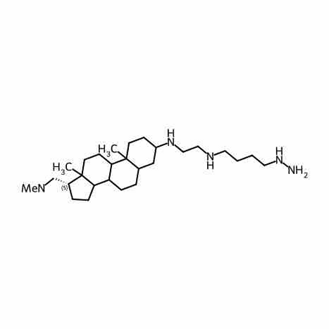 CNC[C@H]1CCC2C3CCC4CC(NCCNCCCCNN)CCC4(C)C3CCC21C